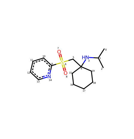 CC(C)NC1(CS(=O)(=O)c2ccccn2)CCCCC1